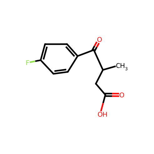 CC(CC(=O)O)C(=O)c1ccc(F)cc1